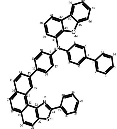 c1ccc(-c2ccc(N(c3ccc(-c4ccc5ccc6ccc7sc(-c8ccccc8)nc7c6c5c4)cc3)c3cccc4c3oc3ccccc34)cc2)cc1